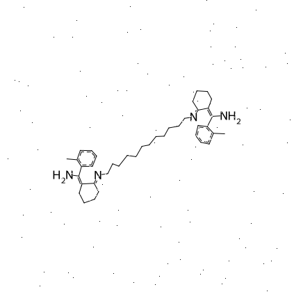 Cc1ccccc1/C(N)=C1/CCCC/C1=N\CCCCCCCCCCCC/N=C1\CCCC\C1=C(/N)c1ccccc1C